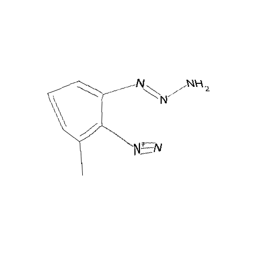 Cc1cccc(N=NN)c1[N+]#N